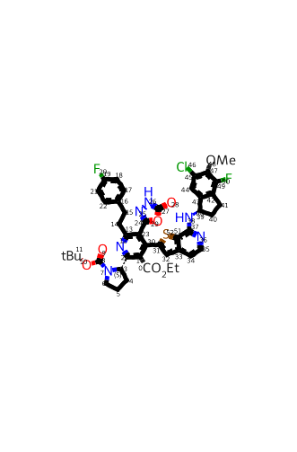 CCOC(=O)c1c([C@@H]2CCCN2C(=O)OC(C)(C)C)nc(CCc2ccc(F)cc2)c(-c2n[nH]c(=O)o2)c1-c1cc2ccnc(N[C@@H]3CCc4c3cc(Cl)c(OC)c4F)c2s1